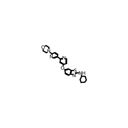 c1cc(Oc2ccc3nc(NC4CCCCC4)sc3c2)cc(-c2ccc(N3CCOCC3)nc2)n1